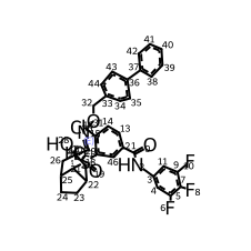 O=C(Nc1cc(F)c(F)c(F)c1)c1ccc(Cl)c(S(=O)(=O)[C@H]2C3CCC2C[C@](O)(/C=N/OCc2ccc(-c4ccccc4)cc2)C3)c1